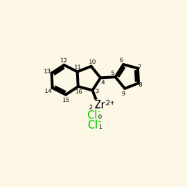 [Cl-].[Cl-].[Zr+2][CH]1C(C2=CC=CC2)CC2C=CC=CC21